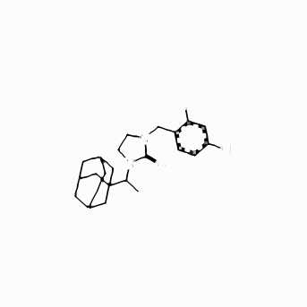 CC(N1CCN(Cc2ccc(Cl)cc2Cl)C1=O)C12CC3CC(CC(C3)C1)C2